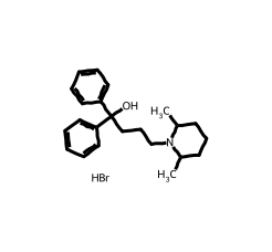 Br.CC1CCCC(C)N1CCCC(O)(c1ccccc1)c1ccccc1